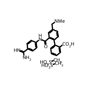 CNCc1ccc(-c2ccccc2C(=O)O)c(C(=O)Nc2ccc(C(=N)N)cc2)c1.CS(=O)(=O)O.CS(=O)(=O)O